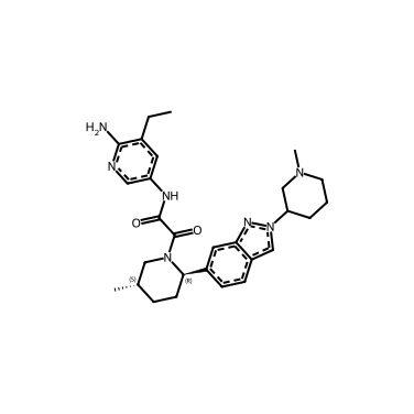 CCc1cc(NC(=O)C(=O)N2C[C@@H](C)CC[C@@H]2c2ccc3cn(C4CCCN(C)C4)nc3c2)cnc1N